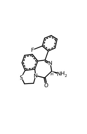 N[C@@H]1N=C(c2ccccc2F)c2cccc3c2N(CCS3)C1=O